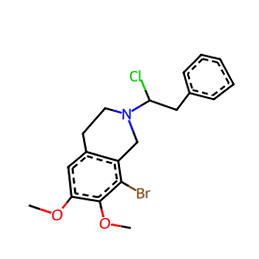 COc1cc2c(c(Br)c1OC)CN(C(Cl)Cc1ccccc1)CC2